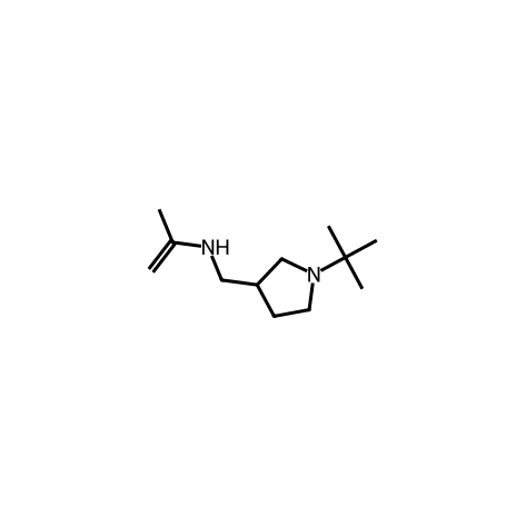 C=C(C)NCC1CCN(C(C)(C)C)C1